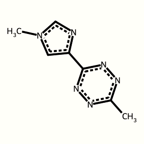 Cc1nnc(-c2cn(C)cn2)nn1